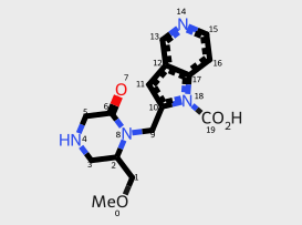 COCC1CNCC(=O)N1Cc1cc2cnccc2n1C(=O)O